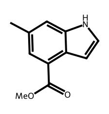 COC(=O)c1cc(C)cc2[nH]ccc12